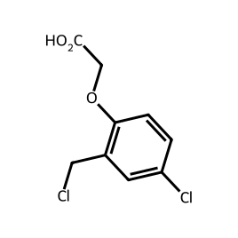 O=C(O)COc1ccc(Cl)cc1CCl